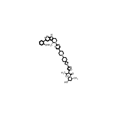 CC(C)C(C(=O)N1C[C@H](O)C[C@H]1C)c1cc(N2CC3(CCC(N4CCC(c5cnc(N6CCc7[nH]c8nnc(-c9ccccc9O)cc8c7[C@H]6C)nc5)CC4)CC3)C2)no1